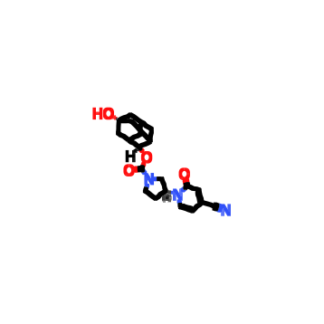 N#Cc1ccn([C@@H]2CCN(C(=O)O[C@H]3C4CC5CC3C[C@](O)(C5)C4)C2)c(=O)c1